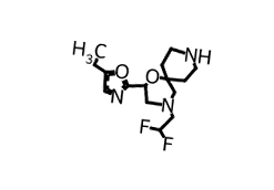 CCc1cnc(C2CN(CC(F)F)CC3(CCNCC3)O2)o1